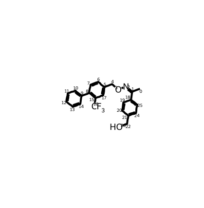 CC(=NOCc1ccc(-c2ccccc2)c(C(F)(F)F)c1)c1ccc(CO)cc1